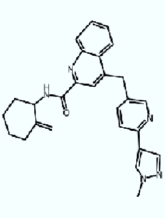 C=C1CCCCC1NC(=O)c1cc(Cc2ccc(-c3cnn(C)c3)nc2)c2ccccc2n1